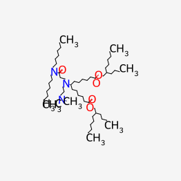 CCCCCCCCN(CCCCCCCC)C(=O)CCN(CCCN(C)C)C(CCCCCC(=O)OCC(CCCC)CCCCCC)CCCCCC(=O)OCC(CCCC)CCCCCC